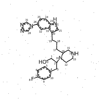 OCC(Cc1ccc(F)cc1)N1CCNCC1CCCc1c[nH]c2ccc(-n3cnnc3)cc12